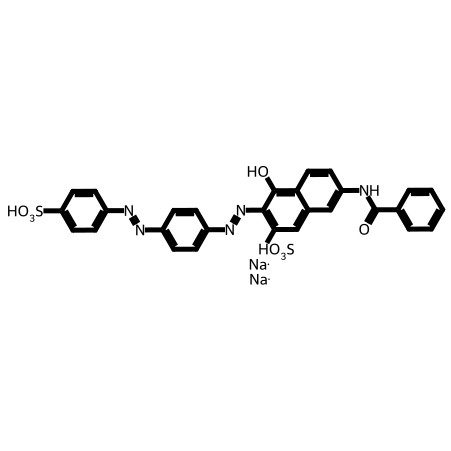 O=C(Nc1ccc2c(O)c(N=Nc3ccc(N=Nc4ccc(S(=O)(=O)O)cc4)cc3)c(S(=O)(=O)O)cc2c1)c1ccccc1.[Na].[Na]